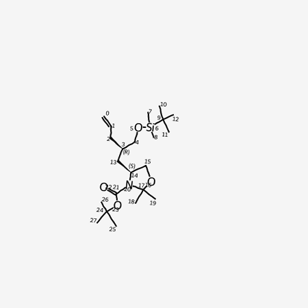 C=CC[C@@H](CO[Si](C)(C)C(C)(C)C)C[C@H]1COC(C)(C)N1C(=O)OC(C)(C)C